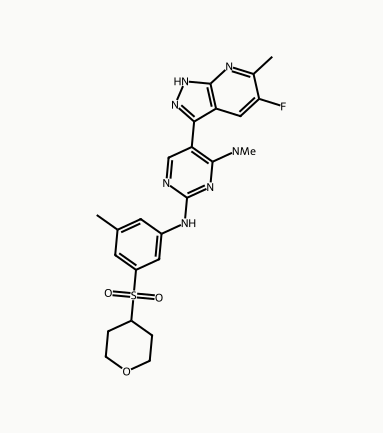 CNc1nc(Nc2cc(C)cc(S(=O)(=O)C3CCOCC3)c2)ncc1-c1n[nH]c2nc(C)c(F)cc12